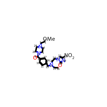 COCCN1CCN(C(=O)c2ccc(CN3CCOc4nc([N+](=O)[O-])cn4CC3)cc2)CC1